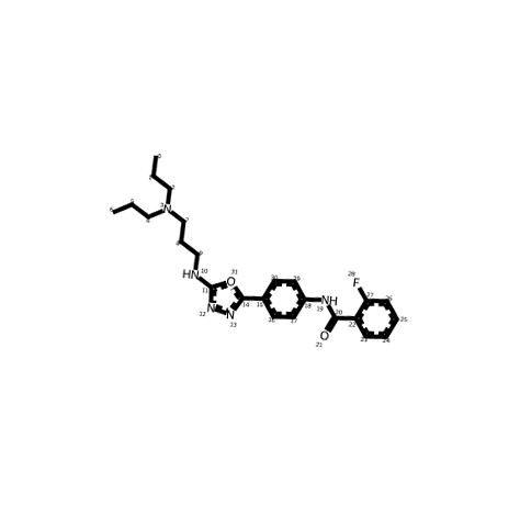 CCCN(CCC)CCCNc1nnc(-c2ccc(NC(=O)c3ccccc3F)cc2)o1